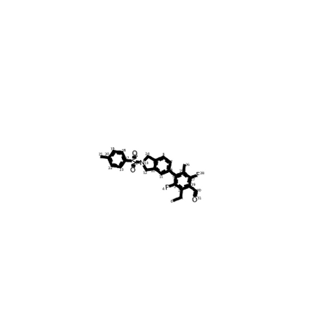 CCc1c(F)c(-c2ccc3c(c2)CN(S(=O)(=O)c2ccc(C)cc2)C3)c(C)c(F)c1[C]=O